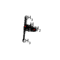 CCCCCCCCCCCCCCN(CCCCCCCCCCCC)C(=O)C(N)(CN)C(=O)C(N)CCCNC(=N)N.Cl.Cl.Cl